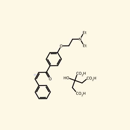 CCN(CC)CCOc1ccc(C(=O)/C=C\c2ccccc2)cc1.O=C(O)CC(O)(CC(=O)O)C(=O)O